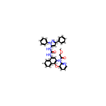 COCC(=O)Nc1ncccc1Oc1ccc(NC(=O)Nc2cc(-c3ccccc3)nn2-c2ccccc2)c2ccccc12